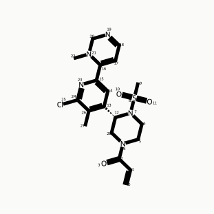 C=CC(=O)N1CCN(S(C)(=O)=O)[C@@H](c2cc(C3=CC=NCN3C)nc(Cl)c2C)C1